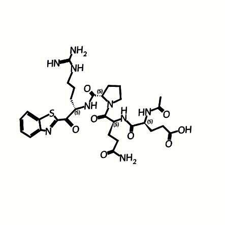 CC(=O)N[C@@H](CCC(=O)O)C(=O)N[C@@H](CCC(N)=O)C(=O)N1CCC[C@H]1C(=O)N[C@@H](CCCNC(=N)N)C(=O)c1nc2ccccc2s1